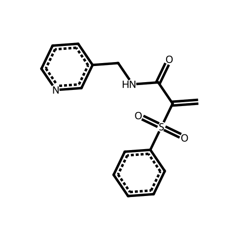 C=C(C(=O)NCc1cccnc1)S(=O)(=O)c1ccccc1